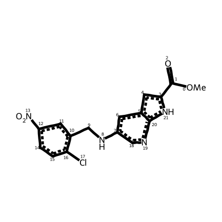 COC(=O)c1cc2cc(NCc3cc([N+](=O)[O-])ccc3Cl)cnc2[nH]1